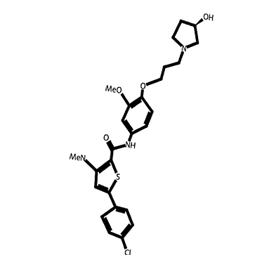 CNc1cc(-c2ccc(Cl)cc2)sc1C(=O)Nc1ccc(OCCCN2CC[C@@H](O)C2)c(OC)c1